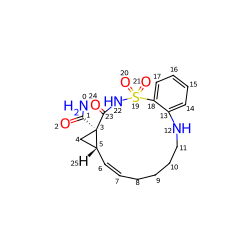 NC(=O)[C@@]12C[C@H]1/C=C\CCCCNc1ccccc1S(=O)(=O)NC2=O